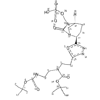 CC(C)(C)OC(=O)NCCN(CCc1nnc([C@@H]2CC[C@H]3CN2C(=O)N3OS(=O)(=O)O)o1)C(=O)OC(C)(C)C